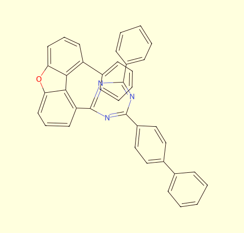 c1ccc(-c2ccc(-c3nc(-c4ccccc4)nc(-c4cccc5oc6cccc(-c7ccccc7)c6c45)n3)cc2)cc1